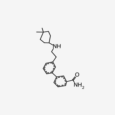 CC1(C)CCC(NCCc2cccc(-c3cccc(C(N)=O)c3)c2)CC1